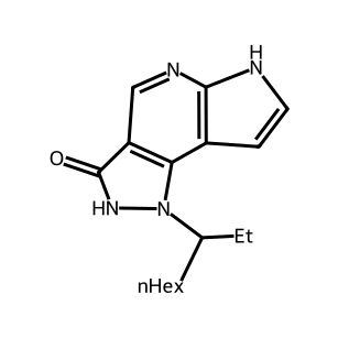 CCCCCCC(CC)n1[nH]c(=O)c2cnc3[nH]ccc3c21